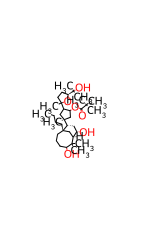 CCCC[C@]12CCC[C@H](O)C(C)(C)[C@@H](C1)[C@@H](O)C[C@H]2[C@@]1(C)CC(C2(C)CC[C@@H](C(C)(C)O)O2)[C@@H](OC(=O)C(C)(C)C)C1